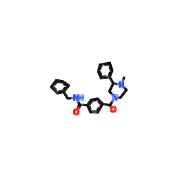 CN1CCN(C(=O)c2ccc(C(=O)NCc3ccccc3)cc2)CC1c1ccccc1